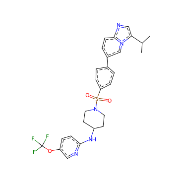 CC(C)c1cnc2ccc(-c3ccc(S(=O)(=O)N4CCC(Nc5ccc(OC(F)(F)F)cn5)CC4)cc3)cn12